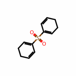 O=S(=O)(C1=CCCC=C1)C1=CCCC=C1